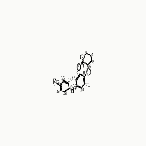 O=C1OCCCC1Oc1ccc([I+]c2ccc(F)cc2)cc1